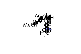 C=C/C(Cl)=C(\C=C/C)c1cccc(NC(=O)[C@@H]2C[C@H]3C[C@H]3N2C(=O)Cn2cc(C(C)=O)c3cc(-c4cnc(OC)nc4)ccc32)c1F